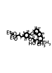 CCC(CC)OC(=O)CCc1ccc(C#N)c(OC[C@H](O)CN(C)C(C)CC2Cc3ccccc3C2)c1